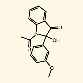 COc1cccc(C2(O)C(=O)c3ccccc3N2C(C)=O)c1